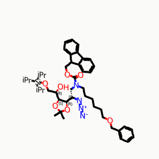 CC(C)[Si](OC[C@@H](O)[C@@H]1OC(C)(C)O[C@@H]1[C@H](CN(CCCCCCOCc1ccccc1)C(=O)OCC1c2ccccc2-c2ccccc21)N=[N+]=[N-])(C(C)C)C(C)C